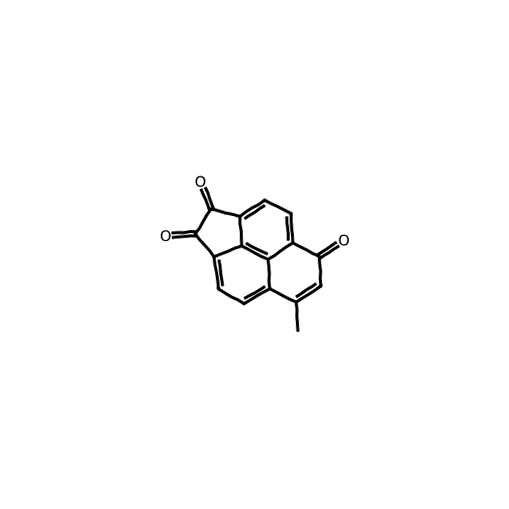 Cc1cc(=O)c2ccc3c(=O)c(=O)c4ccc1c2c43